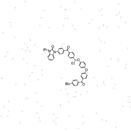 CCC(C)c1ccc(C(=O)c2ccc(Oc3ccc(OC(CC)c4ccc(C(=O)c5ccc(-n6c(=O)n(C(C)C)c7ccccc76)cc5)cc4)cc3)cc2)cc1